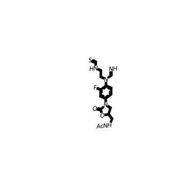 CC(=O)NCC1CN(c2ccc(N(C=N)CCNC=S)c(F)c2)C(=O)O1